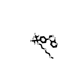 COCCOCCOC(c1ccc(N(C=O)c2cccnc2F)cc1)(C(F)(F)F)C(F)(F)F